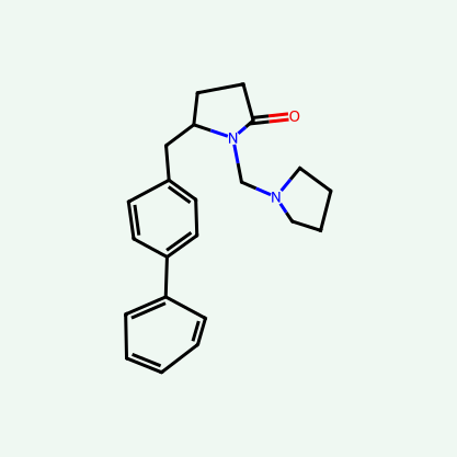 O=C1CCC(Cc2ccc(-c3ccccc3)cc2)N1CN1CCCC1